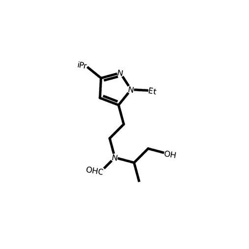 CCn1nc(C(C)C)cc1CCN(C=O)C(C)CO